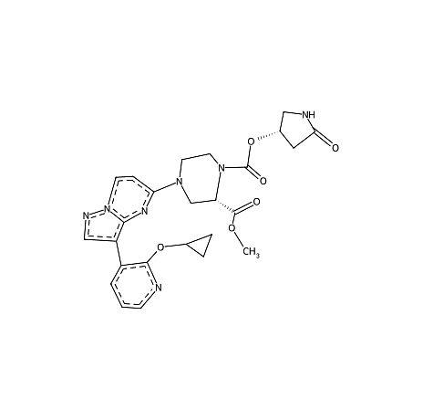 COC(=O)[C@@H]1CN(c2ccn3ncc(-c4cccnc4OC4CC4)c3n2)CCN1C(=O)O[C@@H]1CNC(=O)C1